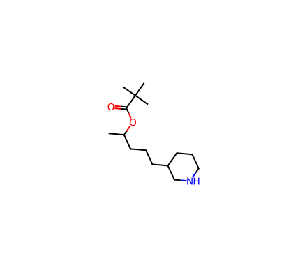 CC(CCCC1CCCNC1)OC(=O)C(C)(C)C